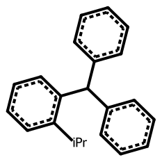 CC(C)c1ccccc1C(c1ccccc1)c1ccccc1